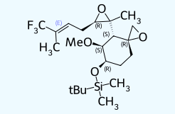 CO[C@H]1[C@H](C2(C)O[C@@H]2C/C=C(\C)C(F)(F)F)[C@]2(CC[C@H]1O[Si](C)(C)C(C)(C)C)CO2